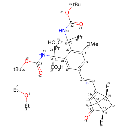 CCOCC.COc1cc(/C=C/C2=CC(=O)[C@H]3C[C@@H]2C3(C)C)cc([C@](NC(=O)OC(C)(C)C)(C(=O)O)C(C)C)c1[C@](NC(=O)OC(C)(C)C)(C(=O)O)C(C)C